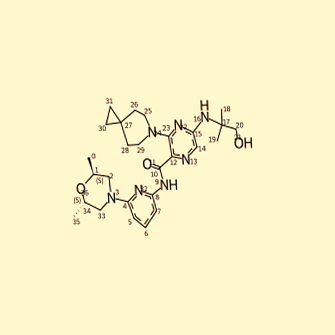 C[C@H]1CN(c2cccc(NC(=O)c3ncc(NC(C)(C)CO)nc3N3CCC4(CC3)CC4)n2)C[C@H](C)O1